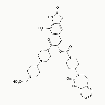 Cc1cc(C[C@@H](OC(=O)N2CCC(N3CCc4ccccc4NC3=O)CC2)C(=O)N2CCN(C3CCN(CC(=O)O)CC3)CC2)cc2oc(=O)[nH]c12